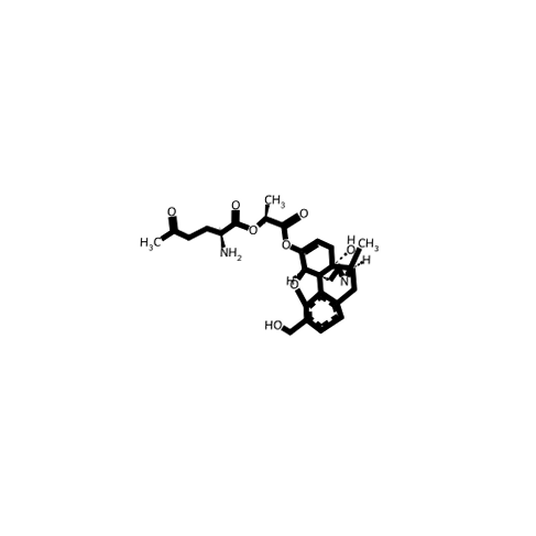 CC(=O)CC[C@H](N)C(=O)O[C@@H](C)C(=O)OC1=CC[C@@]2(O)[C@H]3Cc4ccc(CO)c5c4[C@@]2(CCN3C)[C@H]1O5